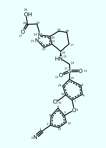 N#Cc1ccc(Oc2ccc(S(=O)(=O)CN[C@@H]3CCCc4c3cnn4CC(=O)O)cc2Cl)cc1